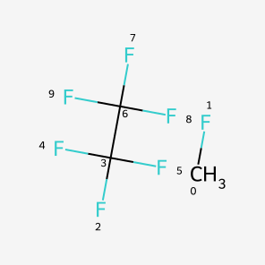 CF.FC(F)(F)C(F)(F)F